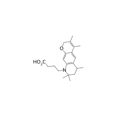 CC1=C(C)c2cc3c(cc2OC1)N(CCCC(=O)O)C(C)(C)CC3C